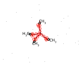 Cc1ccc(S(=O)(=O)OCCOCCOCC(COCCOCCOS(=O)(=O)c2ccc(C)cc2)(COCCOCCOS(=O)(=O)c2ccc(C)cc2)COCCOCCOS(=O)(=O)c2ccc(C)cc2)cc1